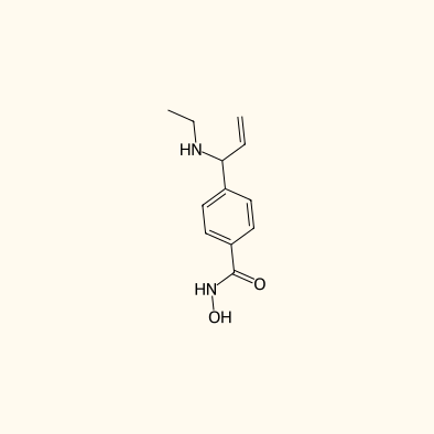 C=CC(NCC)c1ccc(C(=O)NO)cc1